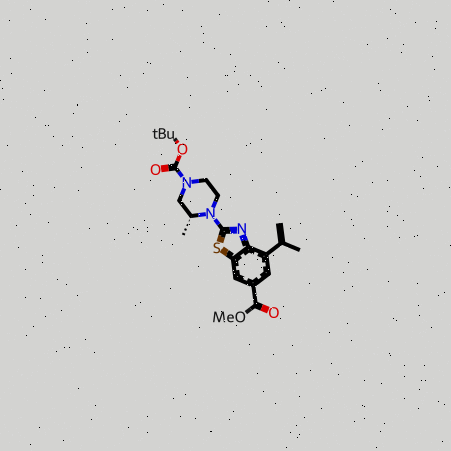 C=C(C)c1cc(C(=O)OC)cc2sc(N3CCN(C(=O)OC(C)(C)C)C[C@H]3C)nc12